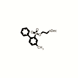 CCCCCCCCCCCCOS(=O)(=O)c1cc(C)ccc1-c1ccccc1